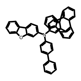 c1ccc(-c2ccc(N(c3ccc4c(c3)-c3c5cccc3-c3cccc-4c3-c3ccccc3-5)c3ccc4c(c3)oc3ccccc34)cc2)cc1